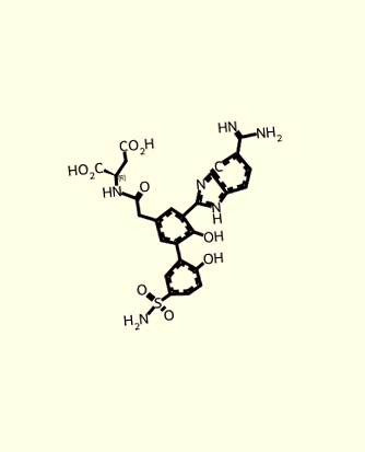 N=C(N)c1ccc2[nH]c(-c3cc(CC(=O)N[C@H](CC(=O)O)C(=O)O)cc(-c4cc(S(N)(=O)=O)ccc4O)c3O)nc2c1